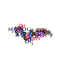 Cc1cnn([C@@H](C(C)CCc2ncsc2-c2ccc(CNC(=O)[C@@H]3C[C@@H](O)CN3C(=O)[C@@H](NC(=O)[C@H](C)NC(=O)OC(C)(C)C)C(C)(C)C)cc2)C(O)N2C[C@H](O)C[C@H]2C(=O)N[C@@H](C)C2C=CC(c3scnc3Cc3cccc(-c4cnn([C@H](C(=O)N5C[C@H](O)C[C@H]5C(=O)N[C@@H](C)c5ccc(-c6scnc6C)cc5)C(C)C)c4)c3)=CC2)c1